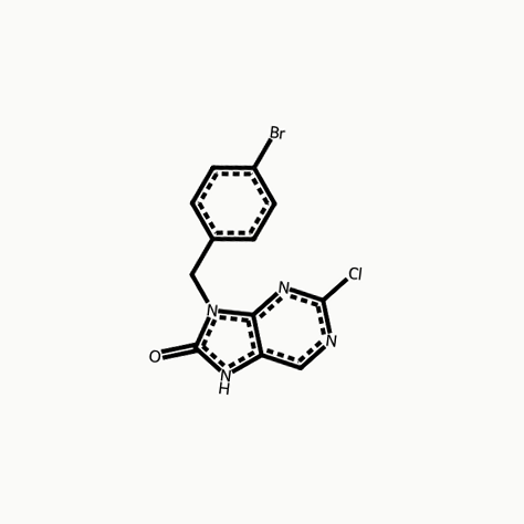 O=c1[nH]c2cnc(Cl)nc2n1Cc1ccc(Br)cc1